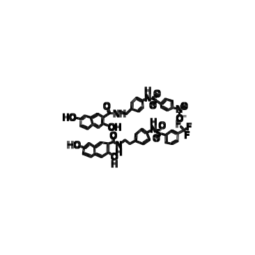 O=C(NCCc1ccc(NS(=O)(=O)c2ccc([N+](=O)[O-])cc2)cc1)c1cc2cc(O)ccc2cc1O.O=C(NCCc1ccc(NS(=O)(=O)c2cccc(C(F)(F)F)c2)cc1)c1cc2cc(O)ccc2cc1O